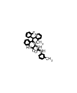 Cc1cccc(NC(=O)N[C@@H]2N=C(C(c3ccccc3F)c3ncccc3C)c3ccccc3NC2=O)c1